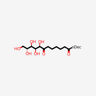 CCCCCCCCCCC(=O)CCCCCC(=O)[C@H](O)[C@@H](O)[C@H](O)[C@H](O)CO